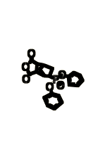 O=C1OC(=O)C2C3CC(CC3P(=O)(Oc3ccccc3)Oc3ccccc3)C12